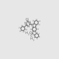 CC1(C)c2ccccc2-c2cc3c4ccccc4n(-c4nc(Cl)nc(-c5ccccc5)n4)c3cc21